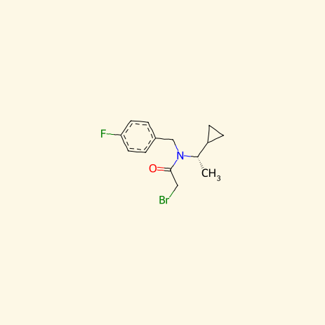 C[C@@H](C1CC1)N(Cc1ccc(F)cc1)C(=O)CBr